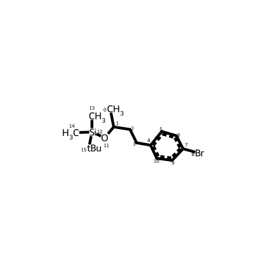 CC(CCc1ccc(Br)cc1)O[Si](C)(C)C(C)(C)C